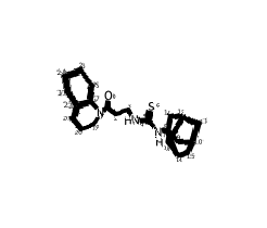 O=C(CCNC(=S)NC12CC3CC(CC(C3)C1)C2)N1CCCC2CCCC=C21